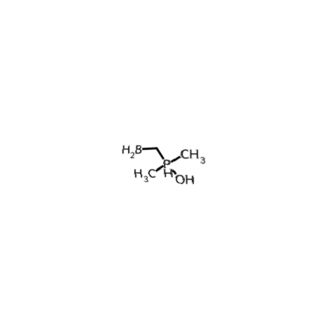 BC[PH](C)(C)O